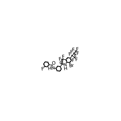 O=C(Nc1cccc(C(=O)Nc2c(Br)cc(C(F)(C(F)(F)F)C(F)(F)C(F)(F)F)cc2C(F)(F)F)c1)c1cccc(F)c1